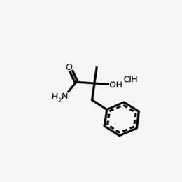 CC(O)(Cc1ccccc1)C(N)=O.Cl